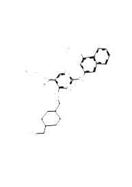 COc1cc(Nc2ncc([N+](=O)OC)c(NCC3CCC(CN)CC3)n2)cc2ccccc12